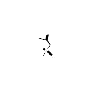 O=C(Cl)CS(=O)(=O)C(F)(F)F